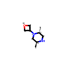 C[C@@H]1CN[C@@H](C)CN1C1COC1